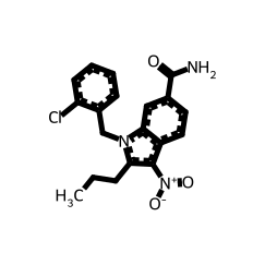 CCCc1c([N+](=O)[O-])c2ccc(C(N)=O)cc2n1Cc1ccccc1Cl